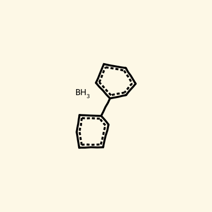 B.c1ccc(-c2ccccc2)cc1